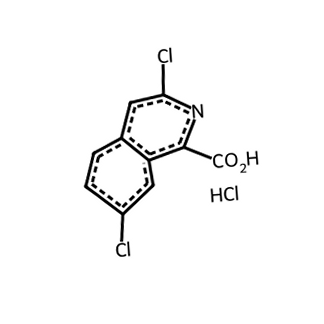 Cl.O=C(O)c1nc(Cl)cc2ccc(Cl)cc12